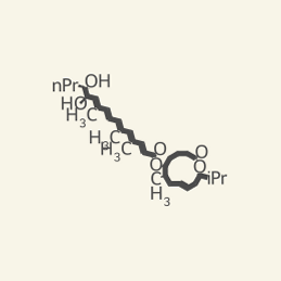 CCC[C@@H](O)[C@H](O)/C=C(C)/C=C/C=C(C)/C=C(C)/C=C/C(=O)O[C@H]1CCCC(=O)OC(C(C)C)C/C=C/C[C@@H]1C